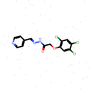 O=C(COc1cc(Cl)c(Cl)cc1Cl)NN=Cc1ccncc1